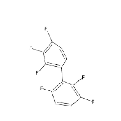 Fc1[c]cc(F)c(-c2ccc(F)c(F)c2F)c1F